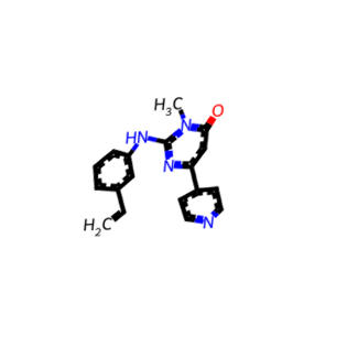 C=Cc1cccc(Nc2nc(-c3ccncc3)cc(=O)n2C)c1